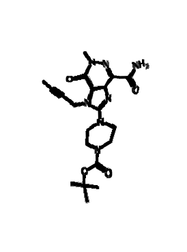 CC#CCN1C(N2CCN(C(=O)OC(C)(C)C)CC2)=NC2C(C(N)=O)=NN(C)C(=O)C21